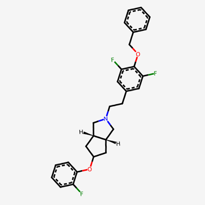 Fc1ccccc1OC1C[C@@H]2CN(CCc3cc(F)c(OCc4ccccc4)c(F)c3)C[C@@H]2C1